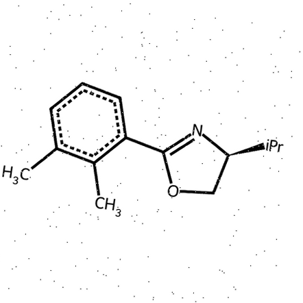 Cc1cccc(C2=N[C@@H](C(C)C)CO2)c1C